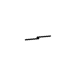 CCCCCCCCCCCCCCc1ccc(CCCCCCCCCCCCCC)cc1